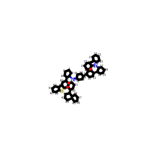 c1ccc(N(c2ccc(-c3ccc(-c4ccccc4-n4c5ccccc5c5ccccc54)cc3)cc2)c2ccc(-c3cccc4ccccc34)cc2)c(-c2ccc3sc4ccccc4c3c2)c1